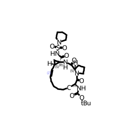 CC(C)(C)OC(=O)N[C@H]1CCCCC/C=C\[C@@H]2C[C@@]2(C(=O)NS(=O)(=O)N2CCCCC2)NC(=O)[C@@H]2CCCN2C1=O